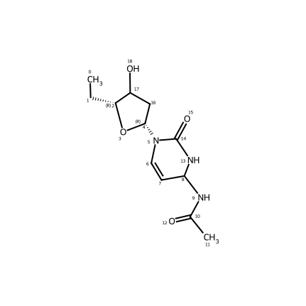 CC[C@H]1O[C@@H](N2C=CC(NC(C)=O)NC2=O)CC1O